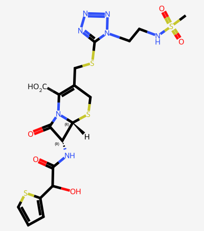 CS(=O)(=O)NCCn1nnnc1SCC1=C(C(=O)O)N2C(=O)[C@@H](NC(=O)C(O)c3cccs3)[C@H]2SC1